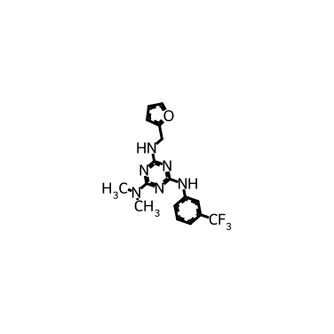 CN(C)c1nc(NCc2ccco2)nc(Nc2cccc(C(F)(F)F)c2)n1